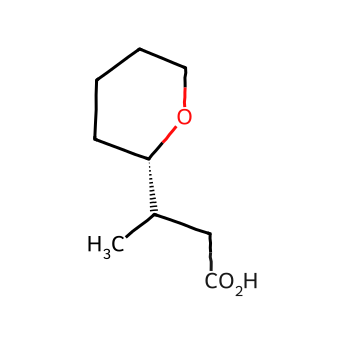 CC(CC(=O)O)[C@@H]1CCCCO1